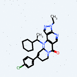 CCn1ncc2c(N[C@H](C)C3CCCCC3)c(C(=O)N3CC=C(c4ccc(Cl)cc4)CC3)cnc21